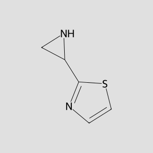 c1csc(C2CN2)n1